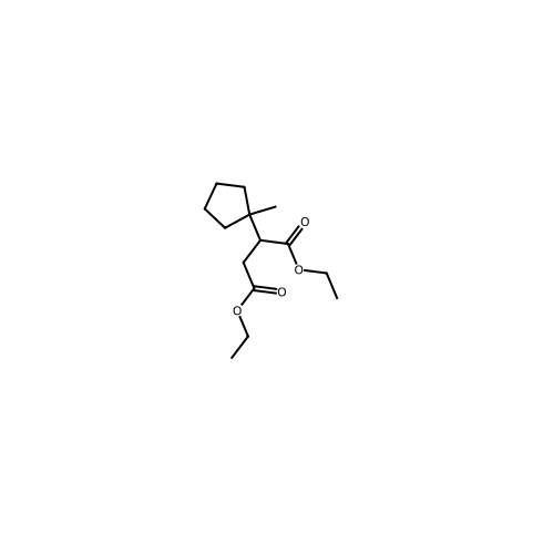 CCOC(=O)CC(C(=O)OCC)C1(C)CCCC1